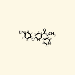 CN(C(=O)c1ccc(Oc2ccc(Br)cc2)nc1)c1cccnc1